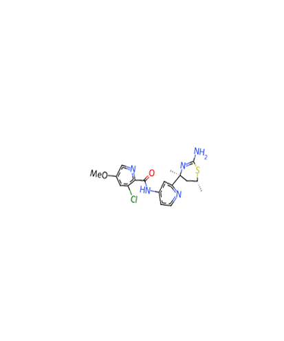 COc1cnc(C(=O)Nc2ccnc([C@]3(C)C[C@@H](C)SC(N)=N3)c2)c(Cl)c1